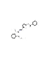 NN=Nc1ccccc1N(N)C(=O)/C=C/c1ccc(CC(=O)c2ccccc2)o1